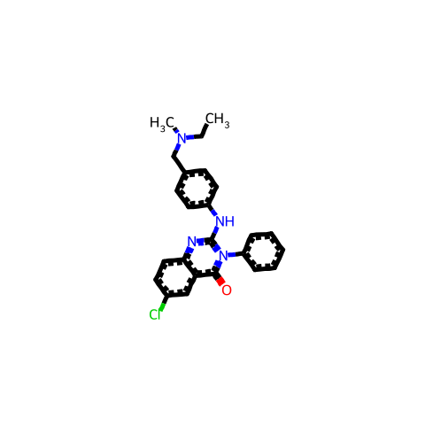 CCN(C)Cc1ccc(Nc2nc3ccc(Cl)cc3c(=O)n2-c2ccccc2)cc1